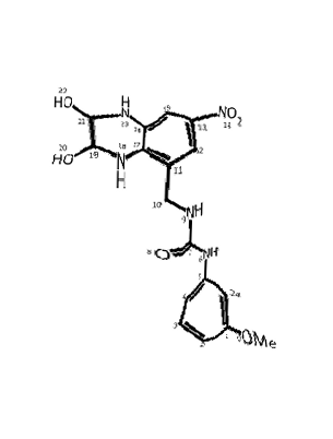 COc1cccc(NC(=O)NCc2cc([N+](=O)[O-])cc3c2NC(O)C(O)N3)c1